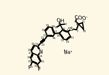 CC(C)(O)c1c(SCC2(CC(=O)[O-])CC2)cccc1-c1cccc(C#Cc2ccc3cc(F)c(F)cc3n2)c1.[Na+]